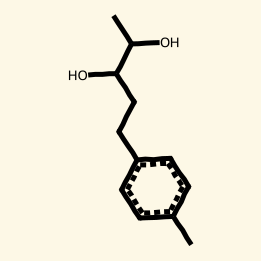 Cc1ccc(CCC(O)C(C)O)cc1